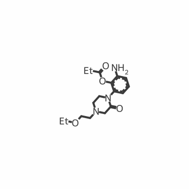 CCOCCN1CCN(c2cccc(N)c2OC(=O)CC)C(=O)C1